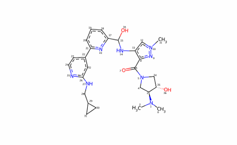 CN(C)[C@H]1CN(C(=O)c2nn(C)cc2NC(O)c2cccc(-c3ccnc(NCC4CC4)c3)n2)C[C@@H]1O